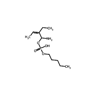 CC=C(CC)C(N)OP(=O)(O)OCCCCC